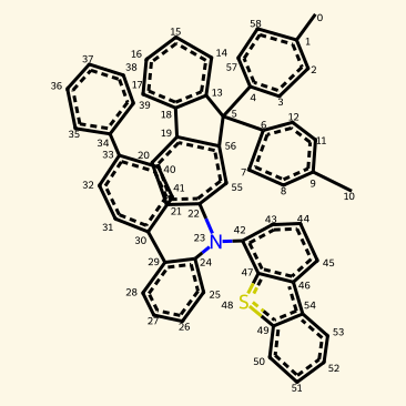 Cc1ccc(C2(c3ccc(C)cc3)c3ccccc3-c3ccc(N(c4ccccc4-c4ccc(-c5ccccc5)cc4)c4cccc5c4sc4ccccc45)cc32)cc1